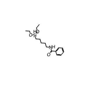 CCO[SiH](CCCCCNC(=O)c1ccccc1)OCC